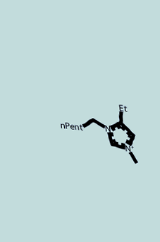 CCCCCCn1c[n+](C)cc1CC